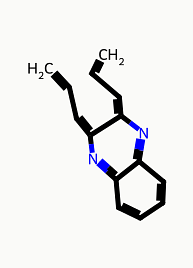 C=C/C=c1/nc2ccccc2n/c1=C/C=C